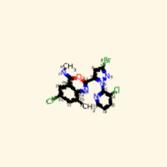 C/N=c1\oc(-c2cc(Br)nn2-c2ncccc2Cl)nc2c(C)cc(Cl)cc12